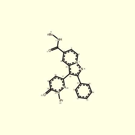 CCCCNC(=O)c1ccn2nc(-c3ccccc3)c(-c3ccc(=O)n(C(C)C)n3)c2c1